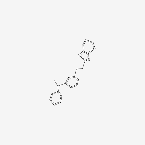 CC(c1ccccc1)c1cccc(CCc2nc3ccccc3s2)c1